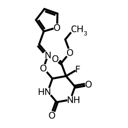 CCOC(=O)C1(F)C(=O)NC(=O)NC1ON=Cc1ccco1